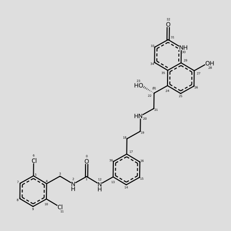 O=C(NCc1c(Cl)cccc1Cl)Nc1cccc(CCNC[C@H](O)c2ccc(O)c3[nH]c(=O)ccc23)c1